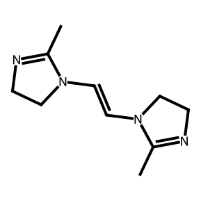 CC1=NCCN1C=CN1CCN=C1C